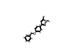 Cc1cc(-c2ccc(OCc3ccccc3)cc2)nn1C